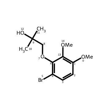 COc1ccc(Br)c(OCC(C)(C)O)c1OC